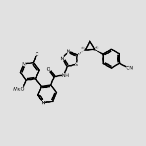 COc1cnc(Cl)cc1-c1cnccc1C(=O)Nc1nnc([C@@H]2C[C@H]2c2ccc(C#N)cc2)s1